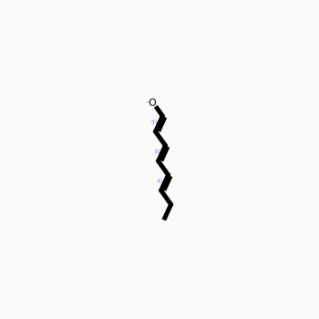 CC/C=C/C=C/C=C/[O]